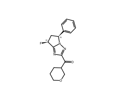 O=C(c1nc2n(n1)[C@H](c1ccccc1)C[C@@H]2F)C1CCCOC1